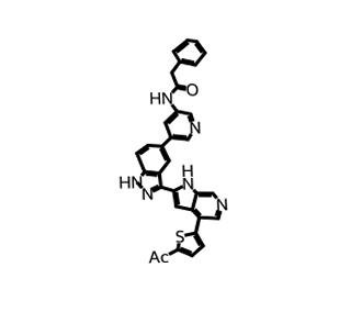 CC(=O)c1ccc(-c2cncc3[nH]c(-c4n[nH]c5ccc(-c6cncc(NC(=O)Cc7ccccc7)c6)cc45)cc23)s1